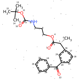 C[C@@H](C(=O)OCCCNC(=O)OC(C)(C)C)c1cccc(C(=O)c2ccccc2)c1